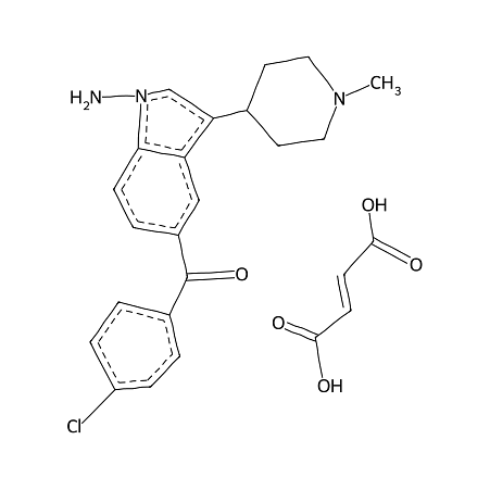 CN1CCC(c2cn(N)c3ccc(C(=O)c4ccc(Cl)cc4)cc23)CC1.O=C(O)C=CC(=O)O